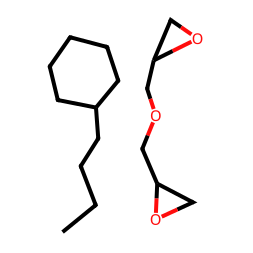 C(OCC1CO1)C1CO1.CCCCC1CCCCC1